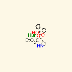 Br.CCOC(=O)C(CC1CCNC1)OC(=O)C(O)(c1ccccc1)C1CCCC1